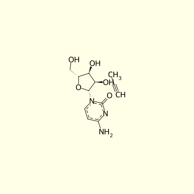 C#CC.Nc1ccn([C@@H]2O[C@H](CO)[C@@H](O)[C@H]2O)c(=O)n1